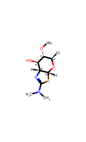 CC[C@H]1O[C@@H]2SC(N(C)C)=N[C@@H]2[C@@H](O)[C@@H]1OC(C)(C)C